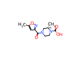 Cc1cc(C(=O)N2CCN(C(=O)O)[C@@H](C)C2)no1